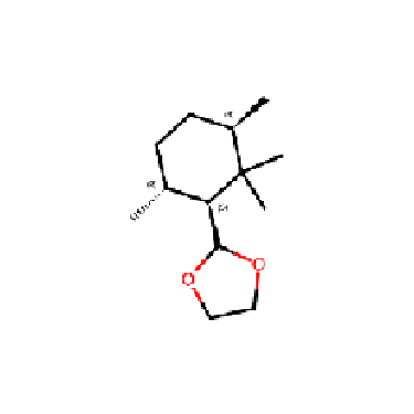 C[C@@H]1CC[C@@H](C)C(C)(C)[C@H]1C1OCCO1